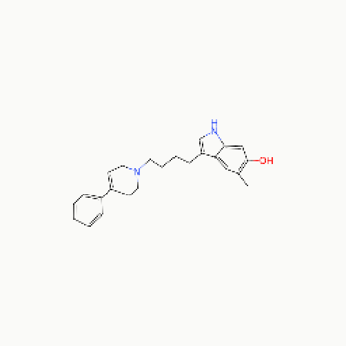 Cc1cc2c(CCCCN3CC=C(c4ccccc4)CC3)c[nH]c2cc1O